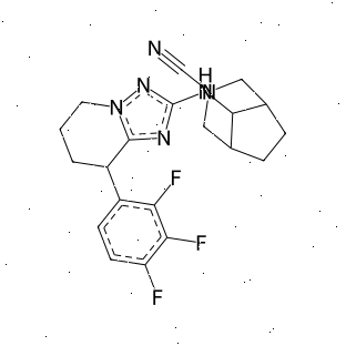 N#CN1CC2CCC(C1)C2Nc1nc2n(n1)CCCC2c1ccc(F)c(F)c1F